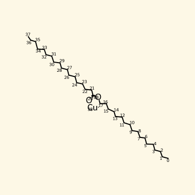 CCCCCCCCCCCCCCCCCCOC(=O)CCCCCCCCCCCCCCCCC.[Cu]